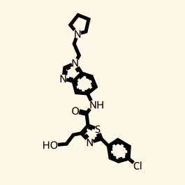 O=C(Nc1ccc2c(c1)ncn2CCN1CCCC1)c1sc(-c2ccc(Cl)cc2)nc1CCO